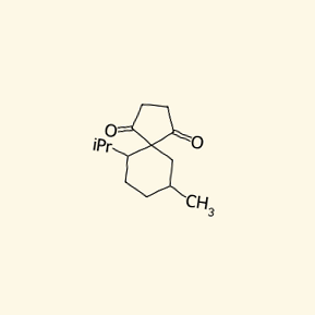 CC1CCC(C(C)C)C2(C1)C(=O)CCC2=O